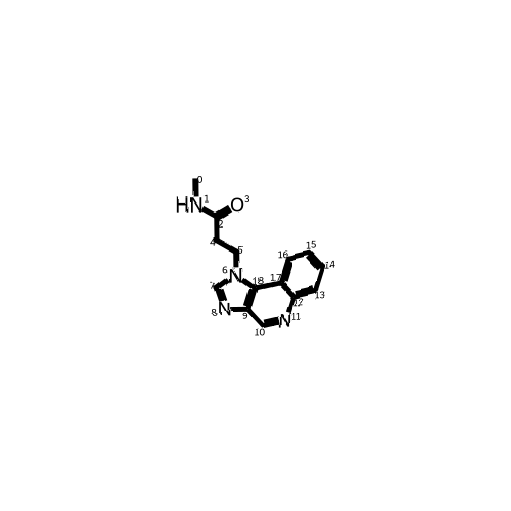 CNC(=O)CCn1cnc2cnc3ccccc3c21